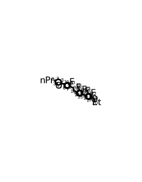 CCCC1CCC(c2ccc(CCc3ccc(-c4ccc(OCC)c(F)c4F)c(F)c3F)c(F)c2)OC1